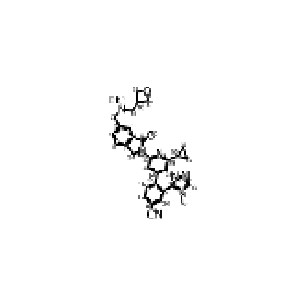 CCN(Cc1ccc2c(c1)C(=O)N(c1cc(-c3ccc(C#N)cc3-c3nncn3C)cc(C3CC3)n1)C2)CC1COC1